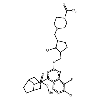 CN1C(COc2nc(N3CC4CCC(C3)N4C(=O)OC(C)(C)C)c3cnc(Cl)c(F)c3n2)CCC1CN1CCN(C(=O)C(F)(F)F)CC1